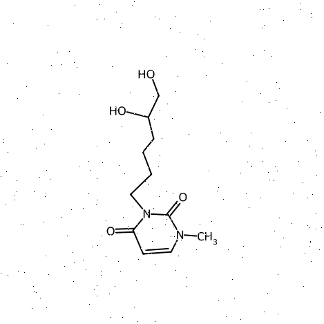 Cn1ccc(=O)n(CCCCC(O)CO)c1=O